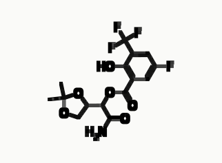 CC1(C)OCC(C(OC(=O)c2cc(F)cc(C(F)(F)F)c2O)C(N)=O)O1